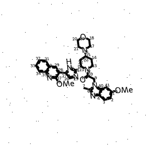 COc1ccc2nc(C)n(CC(=O)N3CC[C@H](N4CCOCC4)C[C@H]3c3ncc(-c4cc5ccccc5nc4OC)[nH]3)c2c1